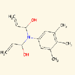 C=CC(O)N(c1cc(C)c(C)c(C)c1)C(O)C=C